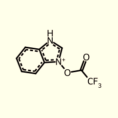 O=C(O[n+]1c[nH]c2ccccc21)C(F)(F)F